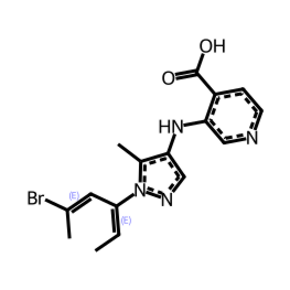 C/C=C(\C=C(/C)Br)n1ncc(Nc2cnccc2C(=O)O)c1C